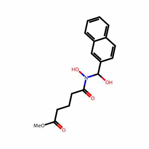 COC(=O)CCCC(=O)N(O)C(O)c1ccc2ccccc2c1